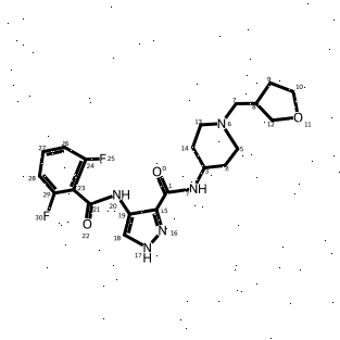 O=C(NC1CCN(CC2CCOC2)CC1)c1n[nH]cc1NC(=O)c1c(F)cccc1F